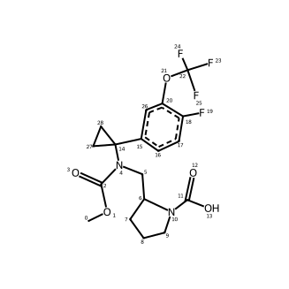 COC(=O)N(CC1CCCN1C(=O)O)C1(c2ccc(F)c(OC(F)(F)F)c2)CC1